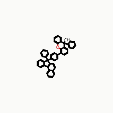 CC1(c2ccccc2)c2ccccc2Oc2c(-c3ccc(C4(c5ccccc5)c5ccccc5-c5c4ccc4ccccc54)cc3)cccc21